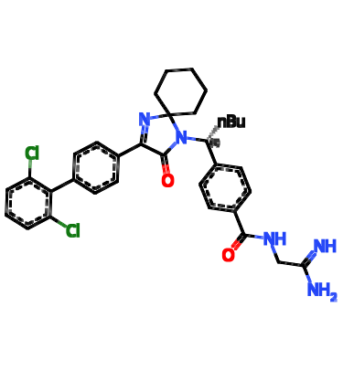 CCCC[C@H](c1ccc(C(=O)NCC(=N)N)cc1)N1C(=O)C(c2ccc(-c3c(Cl)cccc3Cl)cc2)=NC12CCCCC2